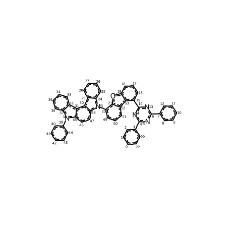 c1ccc(-c2nc(-c3ccccc3)nc(-c3cccc4oc5c(-n6c7ccccc7c7c8c9ccccc9n(-c9ccccc9)c8ccc76)cccc5c34)n2)cc1